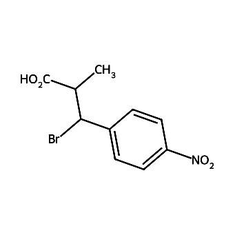 CC(C(=O)O)C(Br)c1ccc([N+](=O)[O-])cc1